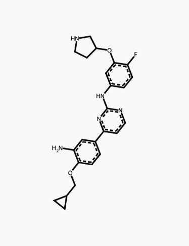 Nc1cc(-c2ccnc(Nc3ccc(F)c(OC4CCNC4)c3)n2)ccc1OCC1CC1